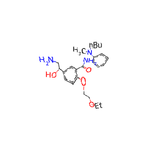 CCCCN(C)c1ccccc1.CCOCCOc1ccc(C(O)CN)cc1C(N)=O